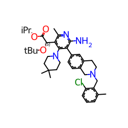 Cc1cccc(Cl)c1CN1CCc2cc(-c3c(N)nc(C)c([C@H](OC(C)(C)C)C(=O)OC(C)C)c3N3CCC(C)(C)CC3)ccc2C1